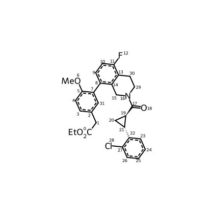 CCOC(=O)Cc1ccc(OC)c(-c2ccc(F)c3c2CN(C(=O)[C@@H]2C[C@H]2c2ccccc2Cl)CC3)c1